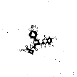 COC(=O)C1(NC(=O)c2sc(-c3ccc(OC)cc3)cc2NC(=O)Nc2c(C)cc(C)cc2C)CCC1